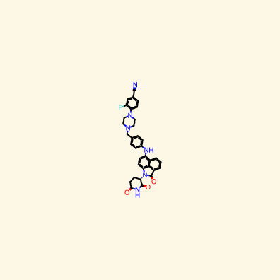 N#Cc1ccc(N2CCN(Cc3ccc(Nc4ccc5c6c(cccc46)C(=O)N5[C@H]4CCC(=O)NC4=O)cc3)CC2)c(F)c1